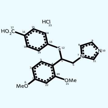 COc1ccc(C(Cn2ccnc2)Sc2ccc(C(=O)O)cc2)c(OC)c1.Cl